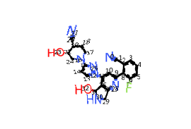 N#Cc1cccc(F)c1-c1cc(-n2ccc(N3CC[C@H](C#N)[C@@H](O)C3)n2)c2c(n1)CNC2O